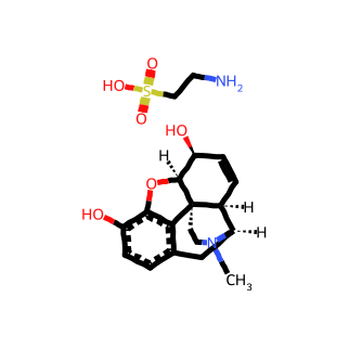 CN1CC[C@]23c4c5ccc(O)c4O[C@H]2[C@@H](O)C=C[C@H]3[C@H]1C5.NCCS(=O)(=O)O